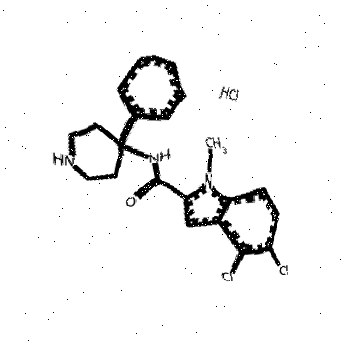 Cl.Cn1c(C(=O)NC2(c3ccccc3)CCNCC2)cc2c(Cl)c(Cl)ccc21